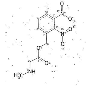 CNCC(=O)OCc1cccc([N+](=O)[O-])c1[N+](=O)[O-]